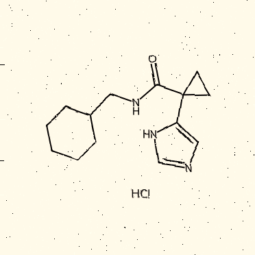 Cl.O=C(NCC1CCCCC1)C1(c2cnc[nH]2)CC1